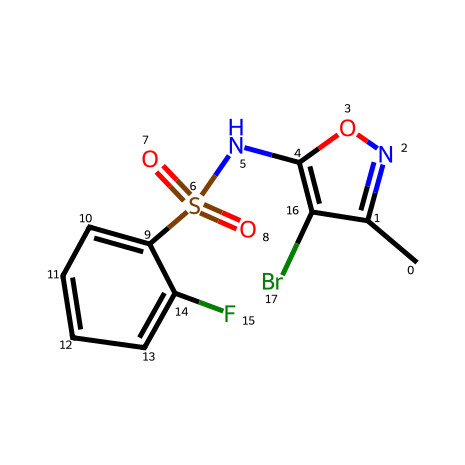 Cc1noc(NS(=O)(=O)c2ccccc2F)c1Br